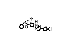 CN(C)CCN(Cc1ccccc1)C(=O)c1ccc(Nc2nccc(-c3ccc(Cl)cc3)n2)cc1